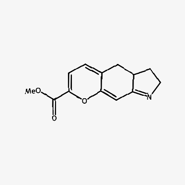 COC(=O)C1=CC=C2CC3CCN=C3C=C2O1